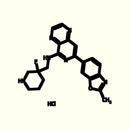 Cc1nc2ccc(-c3cc4nccnc4c(NCC4(F)CCCNC4)n3)cc2o1.Cl